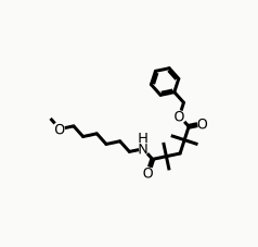 COCCCCCCNC(=O)C(C)(C)CC(C)(C)C(=O)OCc1ccccc1